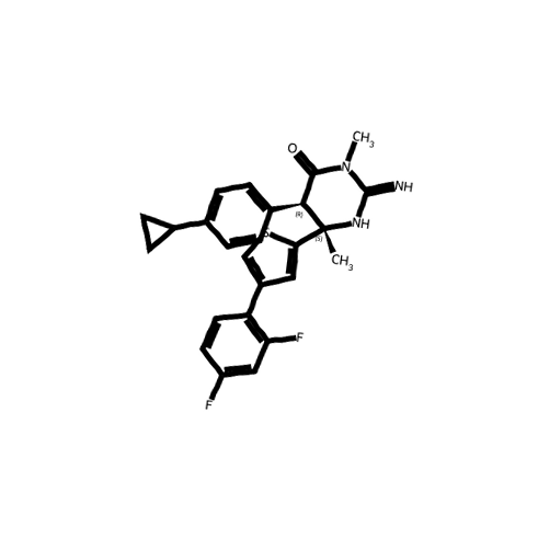 CN1C(=N)N[C@](C)(c2cc(-c3ccc(F)cc3F)cs2)[C@@H](c2ccc(C3CC3)cc2)C1=O